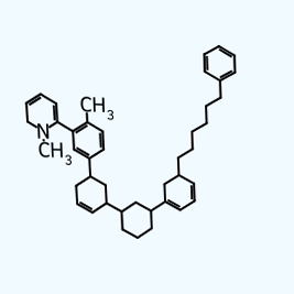 Cc1ccc(C2CC=CC(C3CCCC(C4=CC=CC(CCCCCCc5ccccc5)C4)C3)C2)cc1C1=CC=CCN1C